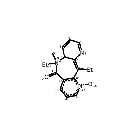 CCC1=C2N=CC=CC2[N+](C)(CC)C(=O)c2ccc[n+]([O-])c21